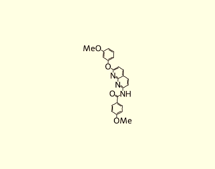 COc1ccc(C(=O)Nc2ccc3ccc(Oc4cccc(OC)c4)nc3n2)cc1